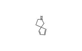 C1=CC2(C=C1)CCNC2